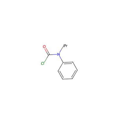 CC(C)N(C(=O)Cl)c1ccccc1